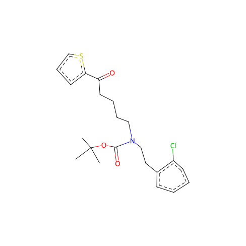 CC(C)(C)OC(=O)N(CCCCC(=O)c1cccs1)CCc1ccccc1Cl